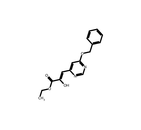 CCOC(=O)/C(O)=C/c1cc(OCc2ccccc2)ncn1